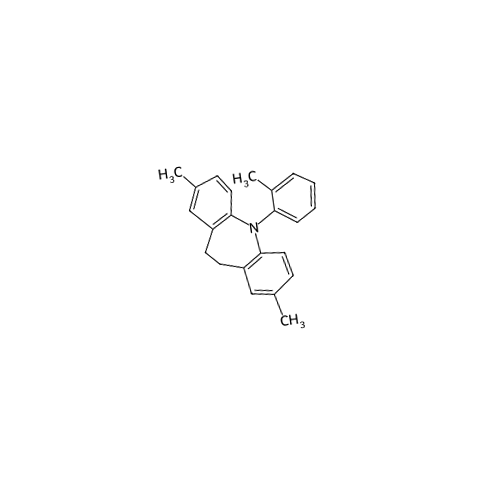 Cc1ccc2c(c1)CCc1cc(C)ccc1N2c1ccccc1C